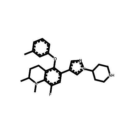 Cc1cccc(Oc2c(-c3cnn(C4CCNCC4)c3)cc(F)c3c2CCC(C)N3C)c1